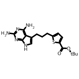 CC(C)(C)OC(=O)c1ccc(CCCc2c[nH]c3nc(N)nc(N)c23)s1